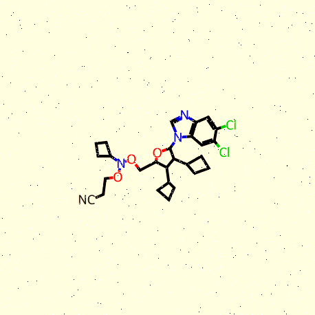 N#CCCON(OCC1OC(n2cnc3cc(Cl)c(Cl)cc32)C(C2CCC2)C1C1CCC1)C1CCC1